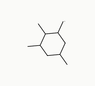 [CH2]C1CC(C)CC(C)C1C